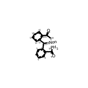 CCCCCCCCCC(c1ccccc1C(=O)P)c1ccccc1C(=O)I